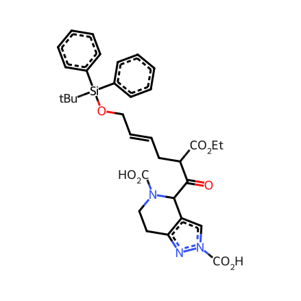 CCOC(=O)C(CC=CCO[Si](c1ccccc1)(c1ccccc1)C(C)(C)C)C(=O)C1c2cn(C(=O)O)nc2CCN1C(=O)O